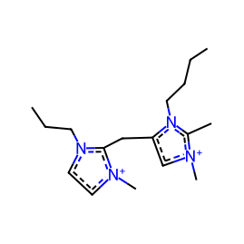 CCCCn1c(Cc2n(CCC)cc[n+]2C)c[n+](C)c1C